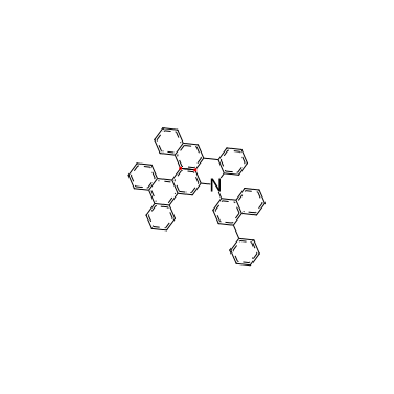 c1ccc(-c2ccc(N(c3ccc4c5ccccc5c5ccccc5c4c3)c3ccccc3-c3ccc4ccccc4c3)c3ccccc23)cc1